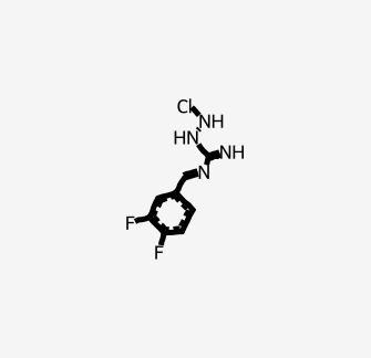 N=C(N=Cc1ccc(F)c(F)c1)NNCl